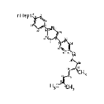 CCCCCCCc1ccc(-c2ncc(-c3ccc(OCC[C@@H](C)CCC=C(C)C)cc3)cn2)cc1